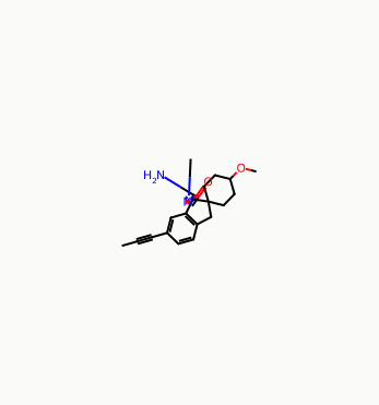 CC#Cc1ccc2c(c1)C1(N=C(N)N(C)C1=O)C1(CCC(OC)CC1)C2